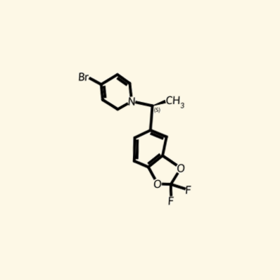 C[C@@H](c1ccc2c(c1)OC(F)(F)O2)N1C=CC(Br)=CC1